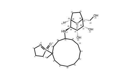 CC1(S2(=O)=NCCC2)CCCCCCCCC(N[C@@H]2[C@@H](O)[C@@H](O)[C@]3(CO)CC[C@H]2O3)CC1